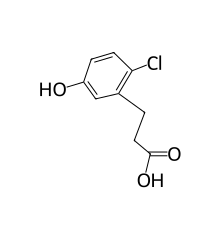 O=C(O)CCc1cc(O)ccc1Cl